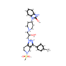 CS(=O)(=O)N1CCc2c(c(-c3ccc(C(F)(F)F)cc3)nn2CC(O)CN2CCC(n3c(=O)[nH]c4ccccc43)CC2)C1